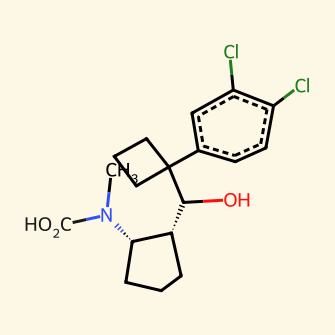 CN(C(=O)O)[C@H]1CCC[C@H]1C(O)C1(c2ccc(Cl)c(Cl)c2)CCC1